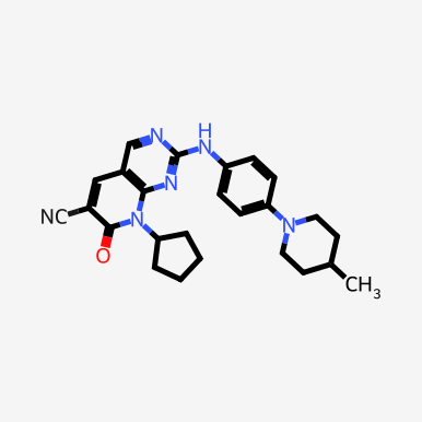 CC1CCN(c2ccc(Nc3ncc4cc(C#N)c(=O)n(C5CCCC5)c4n3)cc2)CC1